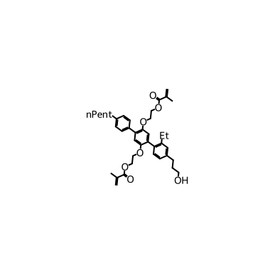 C=C(C)C(=O)OCCOc1cc(-c2ccc(CCCO)cc2CC)c(OCCOC(=O)C(=C)C)cc1-c1ccc(CCCCC)cc1